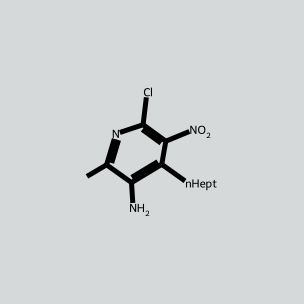 CCCCCCCc1c(N)c(C)nc(Cl)c1[N+](=O)[O-]